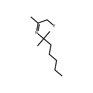 CCCCCC(C)(C)/N=C(/C)CF